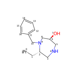 CC(C)C[C@H]1CNC[C@H](O)CN1Cc1ccccc1